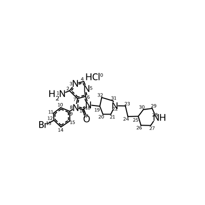 Cl.Nc1ncnc2c1n(-c1ccc(Br)cc1)c(=O)n2C1CCN(CCC2CCNCC2)CC1